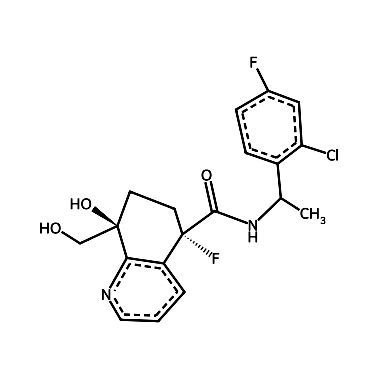 CC(NC(=O)[C@]1(F)CC[C@@](O)(CO)c2ncccc21)c1ccc(F)cc1Cl